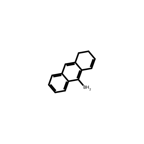 Bc1c2c(cc3ccccc13)CCC=C2